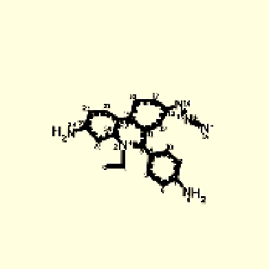 CC[n+]1c(-c2ccc(N)cc2)c2cc(N=[N+]=[N-])ccc2c2ccc(N)cc21